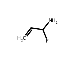 C=C[C](N)F